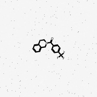 O=C(c1ccc(C(F)(F)F)cc1)N1CCc2c[c]ccc2C1